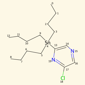 CCC[CH2][Sn]([CH2]CCC)([CH2]CCC)[c]1cncc(Cl)n1